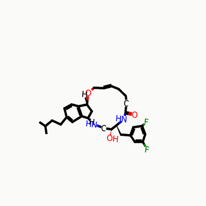 CC(C)CCc1ccc2c(c1)[C@@H]1C[C@H]2OC/C=C/CCCC(=O)N[C@@H](Cc2cc(F)cc(F)c2)[C@H](O)CN1